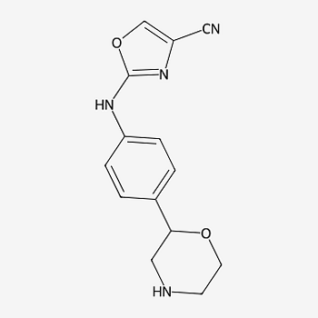 N#Cc1coc(Nc2ccc(C3CNCCO3)cc2)n1